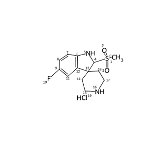 CS(=O)(=O)C1Nc2ccc(F)cc2C12CCNCC2.Cl